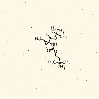 CC1CC1(NC(=O)OCC[Si](C)(C)C)C(=O)OC(C)(C)C